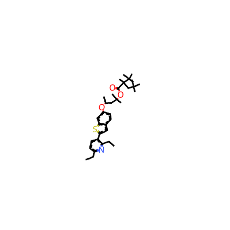 CCc1ccc(-c2cc3ccc(OC(C)CC(C)(C)OC(=O)C(C)(CC(C)(C)C)C(C)(C)C)cc3s2)c(CC)n1